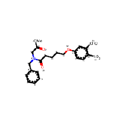 COC(=O)CN(Cc1ccccc1)C(=O)CCCCOc1ccc([N+](=O)[O-])c(C=O)c1